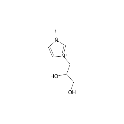 Cn1cc[n+](CC(O)CO)c1